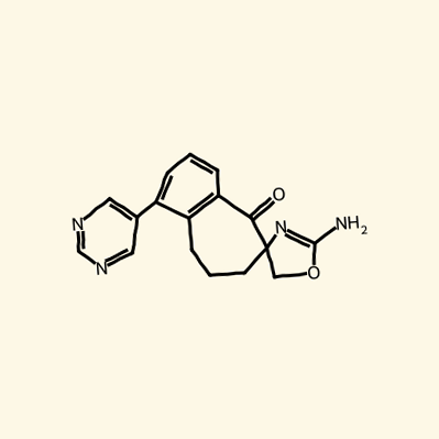 NC1=NC2(CCCc3c(cccc3-c3cncnc3)C2=O)CO1